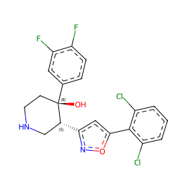 O[C@]1(c2ccc(F)c(F)c2)CCNC[C@H]1c1cc(-c2c(Cl)cccc2Cl)on1